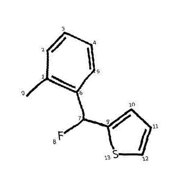 Cc1ccc[c]c1C(F)c1cccs1